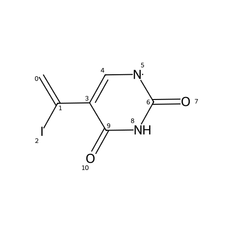 C=C(I)C1=C[N]C(=O)NC1=O